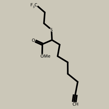 C#CCCCCCC(SCCC(F)(F)F)C(=O)OC